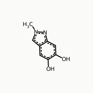 Cn1cc2cc(O)c(O)cc2n1